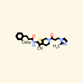 COc1ccccc1CCC(=O)Nc1sc2c(c1C#N)CCN(C(=O)CCn1ccnc1C)C2